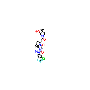 C[C@H]1C(=O)N2[C@@H](CCC(=O)N3CCC4(CC4)[C@H](O)C3)CCC[C@H]2CN1C(=O)Nc1ccc(C(F)(F)F)c(Cl)c1